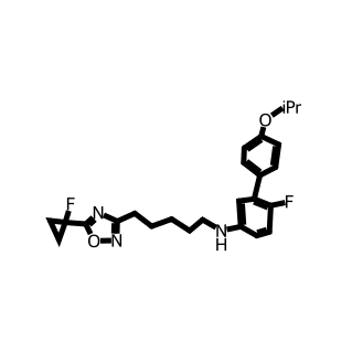 CC(C)Oc1ccc(-c2cc(NCCCCCc3noc(C4(F)CC4)n3)ccc2F)cc1